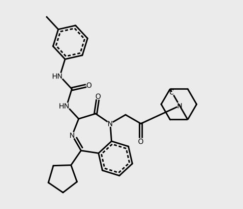 Cc1cccc(NC(=O)NC2N=C(C3CCCC3)c3ccccc3N(CC(=O)N3CC4CCC(CC4)C3)C2=O)c1